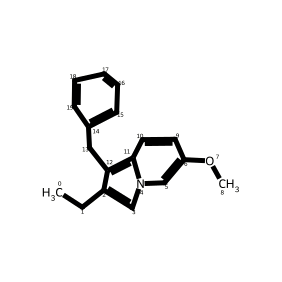 CCc1cn2cc(OC)ccc2c1Cc1ccccc1